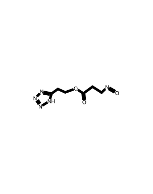 O=NCCC(=O)OCCc1nnn[nH]1